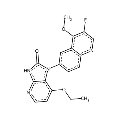 CCOc1ccnc2[nH]c(=O)n(-c3ccc4ncc(F)c(OC)c4c3)c12